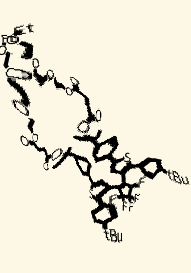 CCOCCOCCOCCOC(=O)CCC(=O)OC(C)(C)C1=CC=C(c2cc(C3=C(c4cc(-c5ccc(C(C)(C)OC(=O)CCC(=O)OCCOCCOCCOCC)cc5)sc4-c4ccc(C(C)(C)C)cc4)C(F)C(F)(F)C3(F)F)c(C3=CCC(C(C)(C)C)C=C3)s2)CC1